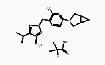 Cc1nc(N2CC3CC3C2)ccc1Cn1cc(C(=O)O)c(C(F)F)n1.O=C(O)C(F)(F)F